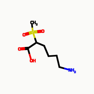 CS(=O)(=O)C(CCCCN)C(=O)O